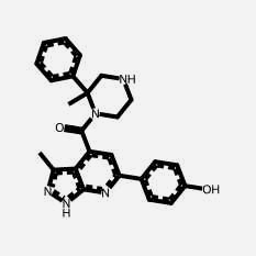 Cc1n[nH]c2nc(-c3ccc(O)cc3)cc(C(=O)N3CCNCC3(C)c3ccccc3)c12